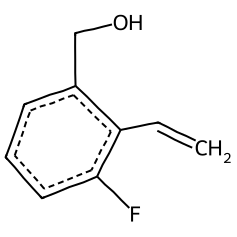 C=Cc1c(F)cccc1CO